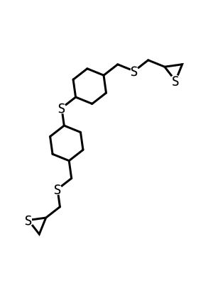 C1CC(SC2CCC(CSCC3CS3)CC2)CCC1CSCC1CS1